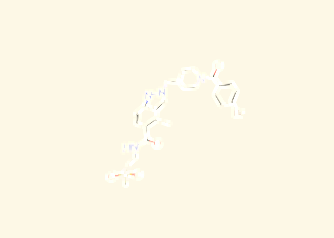 Cc1c(C(=O)NCCS(C)(=O)=O)ccc2nn(CC3CCN(C(=O)c4ccc(Br)cc4)CC3)cc12